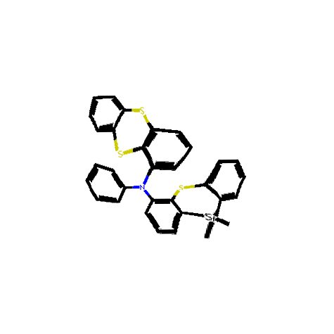 C[Si]1(C)c2ccccc2Sc2c(N(c3ccccc3)c3cccc4c3Sc3ccccc3S4)cccc21